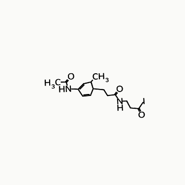 CC(=O)NC1=CC(C)C(CCC(=O)NCCC(=O)I)C=C1